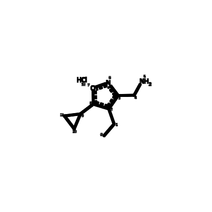 CCc1c(CN)noc1C1CC1.Cl